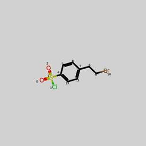 O=S(=O)(Cl)c1ccc(CCBr)cc1